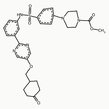 COC(=O)N1CCN(c2ccc(S(=O)(=O)Nc3cccc(-c4ncc(OCC5CCC(=O)CC5)cn4)c3)cc2)CC1